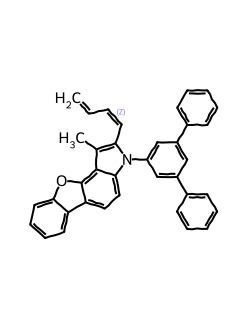 C=C/C=C\c1c(C)c2c3oc4ccccc4c3ccc2n1-c1cc(-c2ccccc2)cc(-c2ccccc2)c1